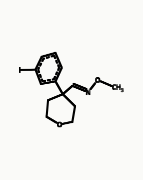 CON=CC1(c2cccc(I)c2)CCOCC1